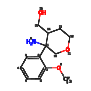 NC1(c2ccccc2OC(F)(F)F)COCCC1CO